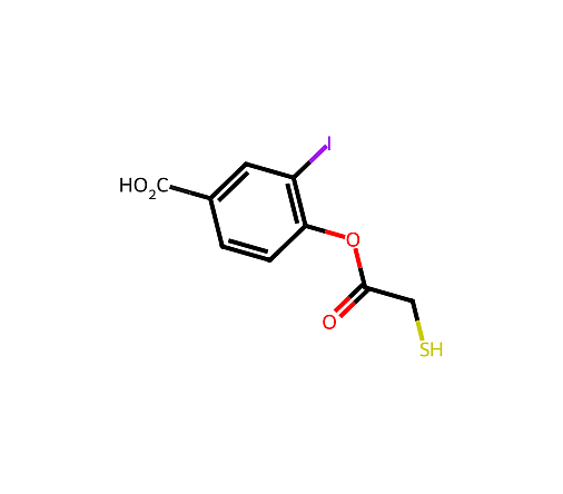 O=C(CS)Oc1ccc(C(=O)O)cc1I